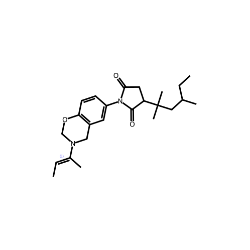 C/C=C(\C)N1COc2ccc(N3C(=O)CC(C(C)(C)CC(C)CC)C3=O)cc2C1